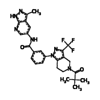 Cc1n[nH]c2ncc(NC(=O)c3cccc(-n4nc(C(F)(F)F)c5c4CCN(C(=O)C(C)(C)C)C5)c3)cc12